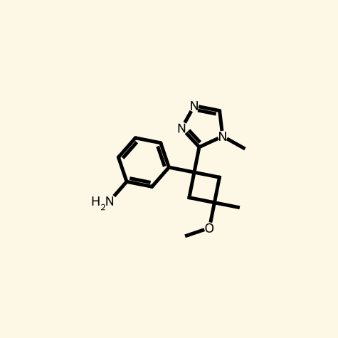 COC1(C)CC(c2cccc(N)c2)(c2nncn2C)C1